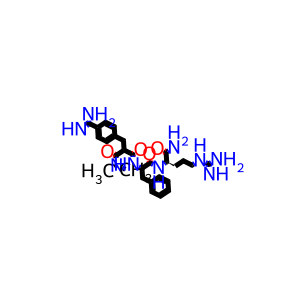 CN(C)C(=O)C(Cc1ccc(C(=N)N)cc1)C(=O)NC(Cc1ccccc1)C(=O)N[C@@H](CCCNC(=N)N)C(N)=O